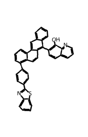 Oc1c(-c2c3ccccc3cc3c2ccc2c(-c4ccc(-c5nc6ccccc6s5)cc4)cccc23)ccc2cccnc12